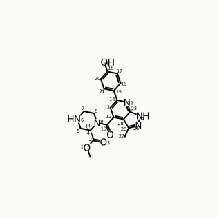 COC(=O)[C@H]1CNCCN1C(=O)c1cc(-c2ccc(O)cc2)nc2[nH]nc(C)c12